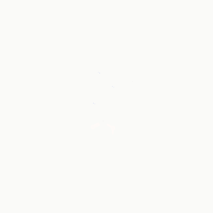 COC(=O)Cn1c(C)c(C)c2ccnc(N3CCc4ccccc4C3)c21